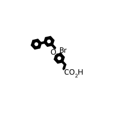 O=C(O)CCc1ccc(OCc2cccc(-c3ccccc3)c2)c(Br)c1